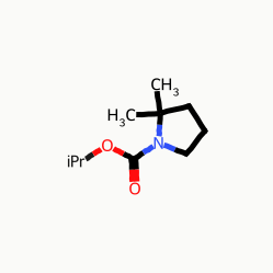 CC(C)OC(=O)N1CCCC1(C)C